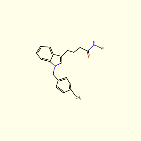 Cc1ccc(Cn2cc(CCCC(=O)NC(C)C)c3ccccc32)cc1